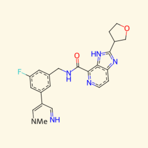 CN/C=C(\C=N)c1cc(F)cc(CNC(=O)c2nccc3nc(C4CCOC4)[nH]c23)c1